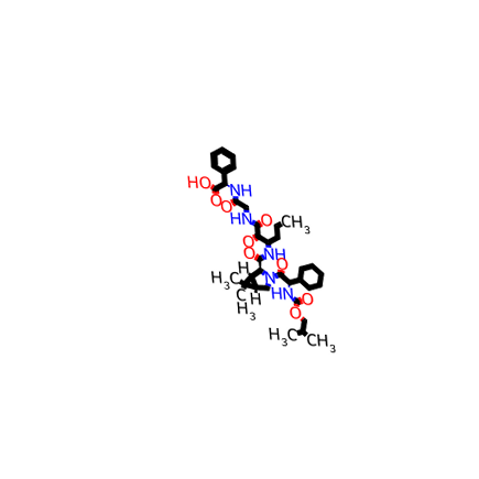 CCCC(NC(=O)[C@@H]1[C@@H]2[C@H](CN1C(=O)[C@@H](NC(=O)OCC(C)C)C1CCCCC1)C2(C)C)C(=O)C(=O)NCC(=O)N[C@H](C(=O)O)c1ccccc1